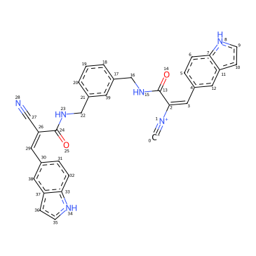 [C-]#[N+]/C(=C/c1ccc2[nH]ccc2c1)C(=O)NCc1cccc(CNC(=O)/C(C#N)=C\c2ccc3[nH]ccc3c2)c1